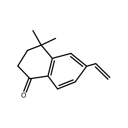 C=Cc1ccc2c(c1)C(C)(C)CCC2=O